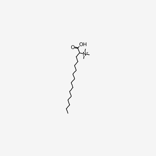 CCCCCCCCCCCCCCC(C(=O)O)[N+](C)(C)C